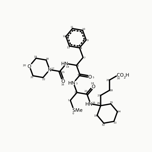 CSCC(NC(=O)C(Cc1ccccc1)NC(=O)N1CCOCC1)C(=O)NC1(CCCC(=O)O)CCCCC1